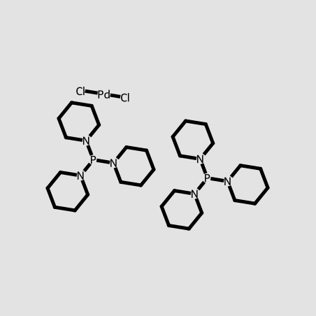 C1CCN(P(N2CCCCC2)N2CCCCC2)CC1.C1CCN(P(N2CCCCC2)N2CCCCC2)CC1.[Cl][Pd][Cl]